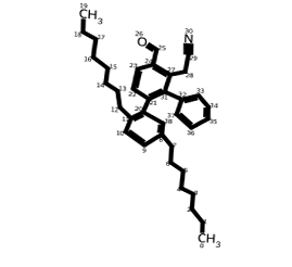 CCCCCCCCc1ccc(CCCCCCCC)c(-c2ccc(C=O)c(CC#N)c2-c2ccccc2)c1